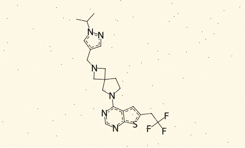 CC(C)n1cc(CN2CC3(CCN(c4ncnc5sc(CC(F)(F)F)cc45)C3)C2)cn1